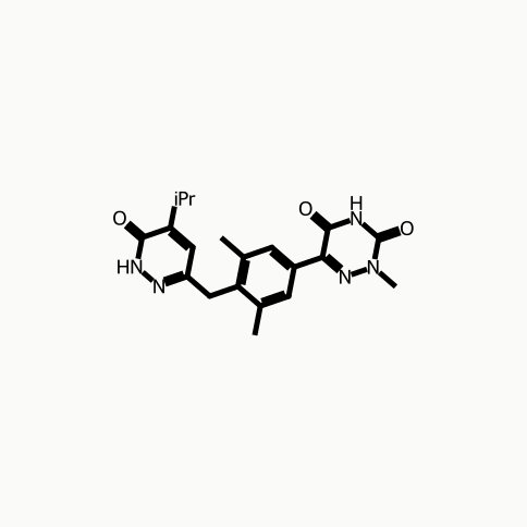 Cc1cc(-c2nn(C)c(=O)[nH]c2=O)cc(C)c1Cc1cc(C(C)C)c(=O)[nH]n1